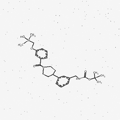 CC(C)(C)OC(=O)NCc1cccc(C2CCN(C(=O)c3cccc(OC[Si](C)(C)O)c3)CC2)c1